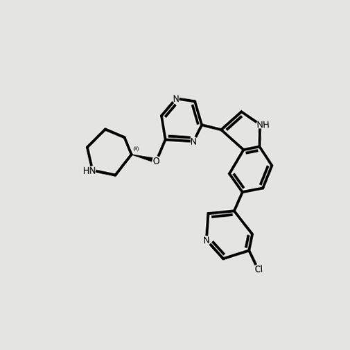 Clc1cncc(-c2ccc3[nH]cc(-c4cncc(O[C@@H]5CCCNC5)n4)c3c2)c1